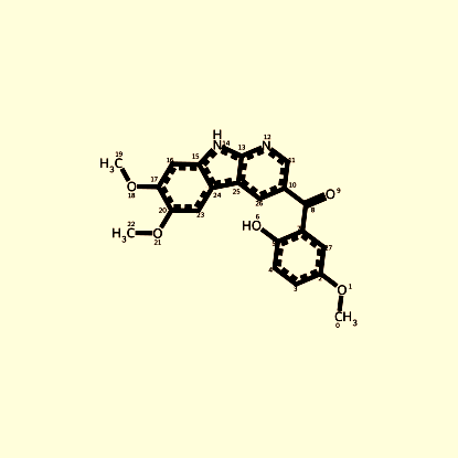 COc1ccc(O)c(C(=O)c2cnc3[nH]c4cc(OC)c(OC)cc4c3c2)c1